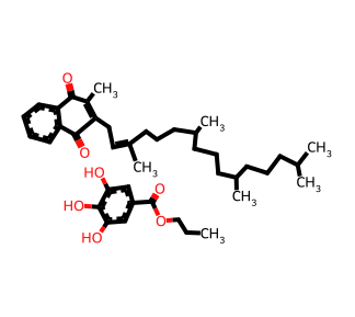 CC(=CCC1=C(C)C(=O)c2ccccc2C1=O)CCCC(C)CCCC(C)CCCC(C)C.CCCOC(=O)c1cc(O)c(O)c(O)c1